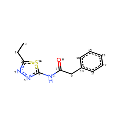 [CH2]Cc1nnc(NC(=O)Cc2ccccc2)s1